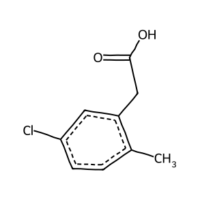 Cc1ccc(Cl)cc1CC(=O)O